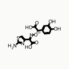 Nc1nc(C(=NO[C@H](C(=O)O)c2ccc(O)c(O)c2)C(=O)O)cs1